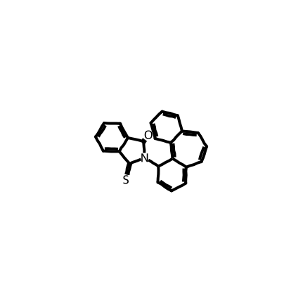 O=C1c2ccccc2C(=S)N1C1C=CC=C2C=CC=c3ccccc3=C21